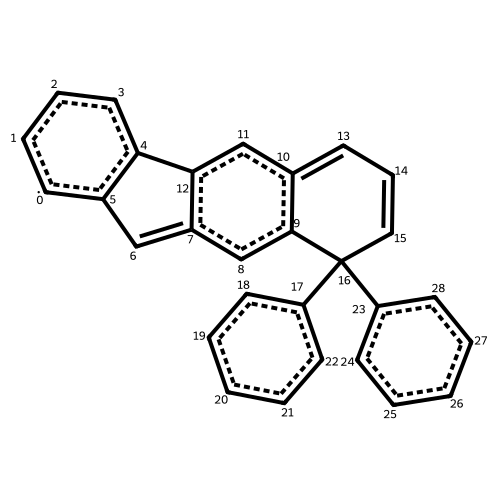 [c]1cccc2c1C=c1cc3c(cc1-2)=CC=CC3(c1ccccc1)c1ccccc1